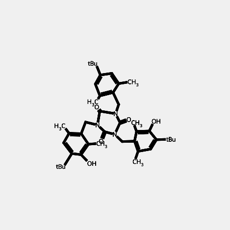 Cc1cc(C(C)(C)C)cc(C)c1Cn1c(=O)n(Cc2c(C)cc(C(C)(C)C)c(O)c2C)c(=O)n(Cc2c(C)cc(C(C)(C)C)c(O)c2C)c1=O